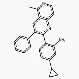 Cc1nccc2nc(-c3ccc(C4CC4)cc3N)c(-c3ccccc3)cc12